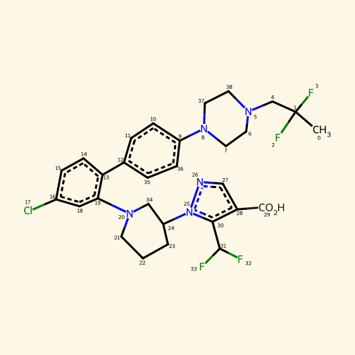 CC(F)(F)CN1CCN(c2ccc(-c3ccc(Cl)cc3N3CCCC(n4ncc(C(=O)O)c4C(F)F)C3)cc2)CC1